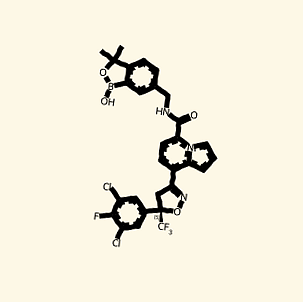 CC1(C)OB(O)c2cc(CNC(=O)c3ccc(C4=NO[C@@](c5cc(Cl)c(F)c(Cl)c5)(C(F)(F)F)C4)c4cccn34)ccc21